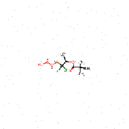 CC(OC(=O)C(C)(C)C)C(F)(F)SOOO